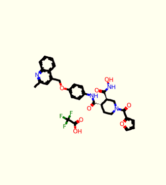 Cc1cc(COc2ccc(NC(=O)[C@H]3CCN(C(=O)c4ccco4)C[C@@H]3C(=O)NO)cc2)c2ccccc2n1.O=C(O)C(F)(F)F